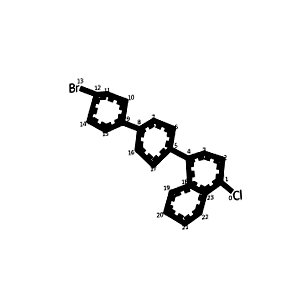 Clc1ccc(-c2ccc(-c3ccc(Br)cc3)cc2)c2ccccc12